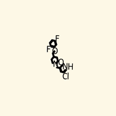 O=c1[nH]cc(Cl)cc1CN1CCC(COc2cc(F)ccc2F)CC1